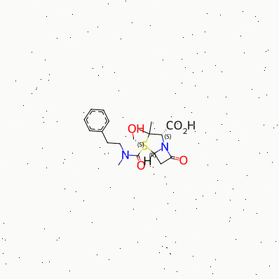 CN(CCc1ccccc1)C(=O)[S@]1(CO)[C@@H]2CC(=O)N2[C@@H](C(=O)O)C1(C)C